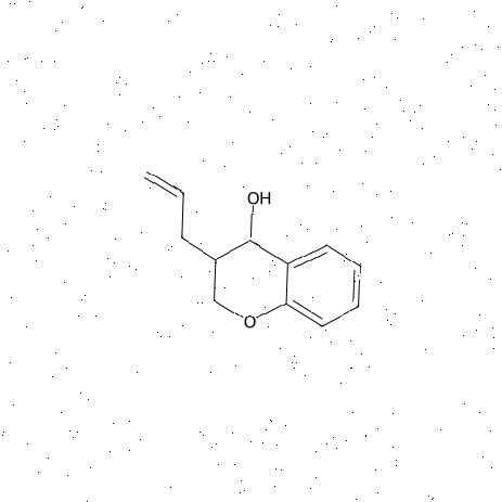 C=CCC1COc2ccccc2C1O